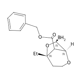 B[C@@H]1O[C@@]2(CC)CCO[C@H]1C2C(=O)OCc1ccccc1